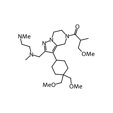 CNCCN(C)Cc1nn2c(c1C1CCC(COC)(COC)CC1)CN(C(=O)C(C)COC)CC2